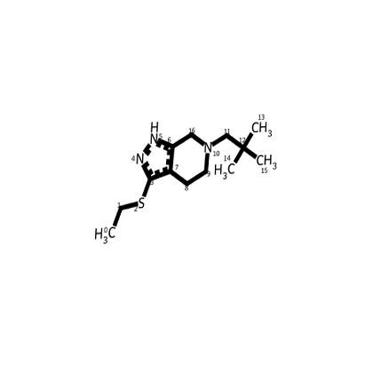 CCSc1n[nH]c2c1CCN(CC(C)(C)C)C2